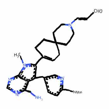 CNc1ccc(-c2c(C3=CCC4(CC3)CCN(C=CC=O)CC4)n(C)c3ncnc(N)c23)cn1